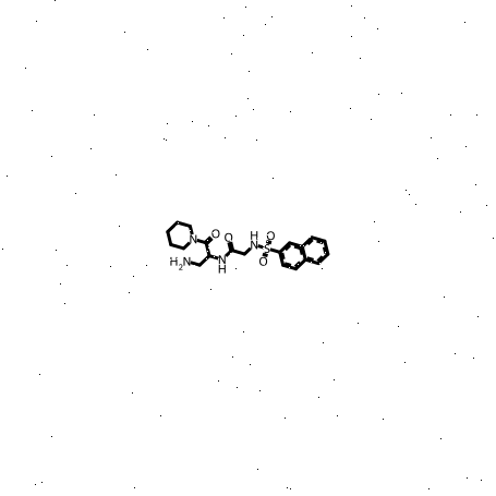 NCC(NC(=O)CNS(=O)(=O)c1ccc2ccccc2c1)C(=O)N1CCCCC1